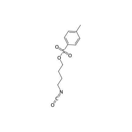 Cc1ccc(S(=O)(=O)OCCCCN=C=O)cc1